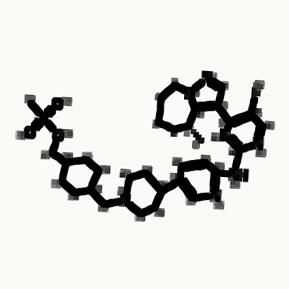 C[C@@H]1CCCCn2ncc(-c3nc(Nc4ccc(C5CCN(CC6CCC(COS(C)(=O)=O)CC6)CC5)cn4)ncc3F)c21